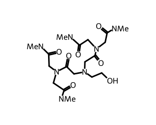 CNC(=O)CN(CC(=O)NC)C(=O)CN(CCO)CC(=O)N(CC(=O)NC)CC(=O)NC